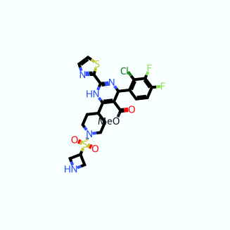 COC(=O)C1=C(C2CCN(S(=O)(=O)C3CNC3)CC2)NC(c2nccs2)=NC1c1ccc(F)c(F)c1Cl